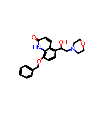 O=c1ccc2c(C(O)CN3CCOCC3)ccc(OCc3ccccc3)c2[nH]1